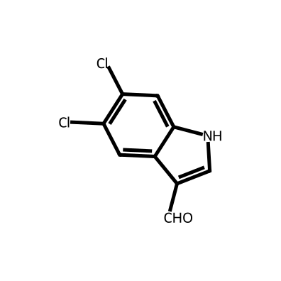 O=Cc1c[nH]c2cc(Cl)c(Cl)cc12